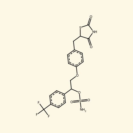 NS(=O)(=O)OC(COc1ccc(CC2SC(=O)NC2=O)cc1)c1ccc(C(F)(F)F)cc1